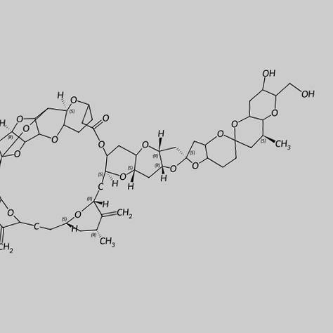 C=C1CC2CC[C@@]34C[C@H]5OC6C(OC7CCC(CC(=O)OC8CC9O[C@@H]%10C[C@@]%11(CC%12OC%13(CCC%12O%11)C[C@H](C)C%11OC(CO)C(O)CC%11O%13)O[C@@H]%10C[C@@H]9O[C@H]8C[C@H]8O[C@@H](CCC1O2)C[C@@H](C)C8=C)O[C@@H]7C6O3)C5O4